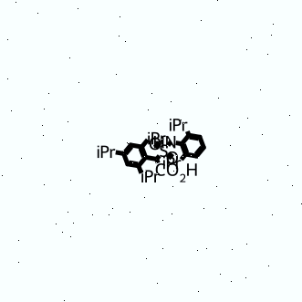 CC(C)c1cc(C(C)C)c(C(C(=O)O)S(=O)(=O)Nc2c(C(C)C)cccc2C(C)C)c(C(C)C)c1